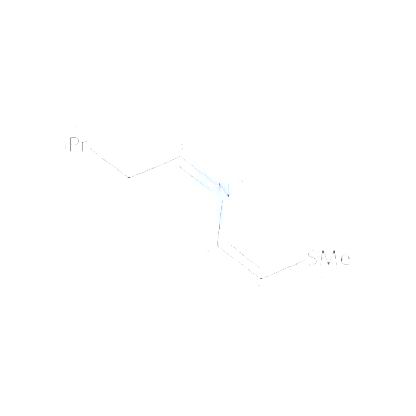 CS/C=C\N=C/CC(C)C